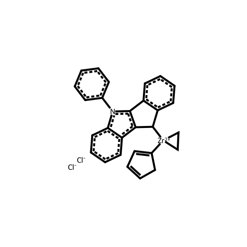 C1=CC[C]([Zr+2]2([CH]3c4ccccc4-c4c3c3ccccc3n4-c3ccccc3)[CH2][CH2]2)=C1.[Cl-].[Cl-]